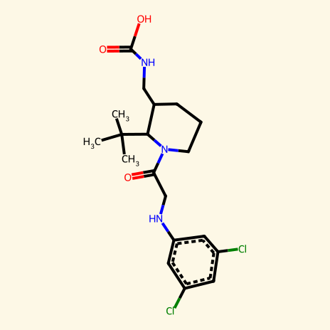 CC(C)(C)C1C(CNC(=O)O)CCCN1C(=O)CNc1cc(Cl)cc(Cl)c1